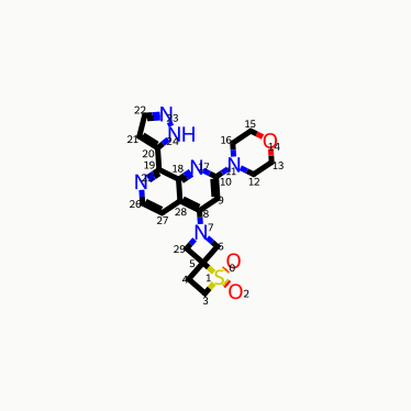 O=S1(=O)CCC12CN(c1cc(N3CCOCC3)nc3c(-c4ccn[nH]4)nccc13)C2